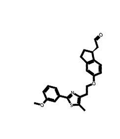 COc1cccc(-c2nc(CCOc3ccc4c(c3)CC[C@H]4CC=O)c(C)s2)c1